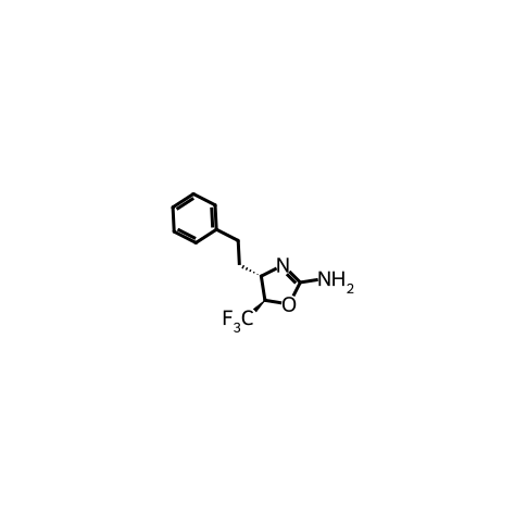 NC1=N[C@@H](CCc2ccccc2)[C@H](C(F)(F)F)O1